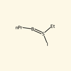 CCCB=S(I)CC